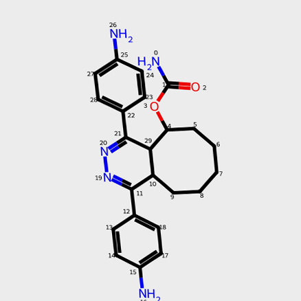 NC(=O)OC1CCCCCC2C(c3ccc(N)cc3)=NN=C(c3ccc(N)cc3)C12